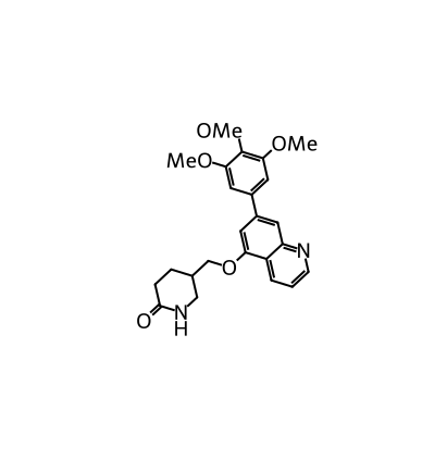 COc1cc(-c2cc(OCC3CCC(=O)NC3)c3cccnc3c2)cc(OC)c1OC